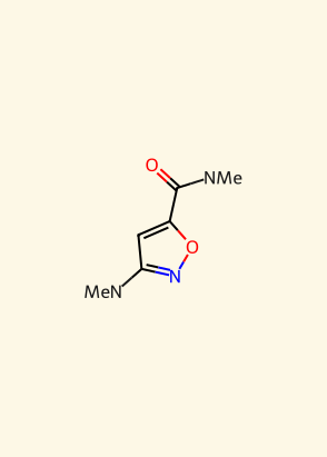 CNC(=O)c1cc(NC)no1